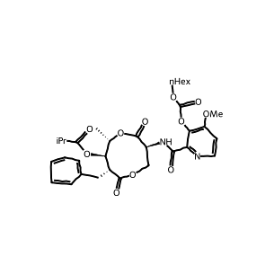 CCCCCCOC(=O)Oc1c(OC)ccnc1C(=O)N[C@H]1COC(=O)[C@H](Cc2ccccc2)[C@@H](OC(=O)C(C)C)[C@H](C)OC1=O